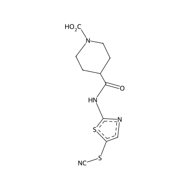 N#CSc1cnc(NC(=O)C2CCN(C(=O)O)CC2)s1